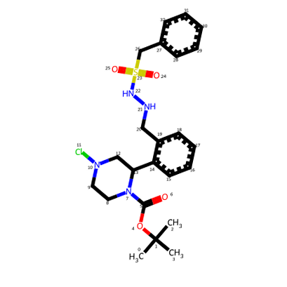 CC(C)(C)OC(=O)N1CCN(Cl)CC1c1ccccc1CNNS(=O)(=O)Cc1ccccc1